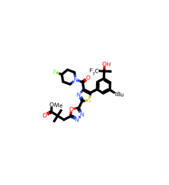 COC(=O)C(C)(C)Cc1nnc(-c2nc(C(=O)N3CCC(F)CC3)c(-c3cc(C(C)(C)C)cc(C(C)(O)C(F)(F)F)c3)s2)o1